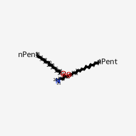 CCCCCC=CCC=CCCCCCCCCOCC(CCN(C)C)OCCCCCCCCC=CCC=CCCCCC